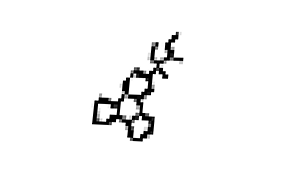 C/C=C(\C)C(C)(CC)c1ccc2c3ccccc3c3ccccc3c2c1